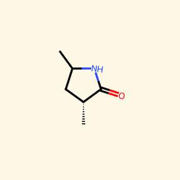 CC1C[C@@H](C)C(=O)N1